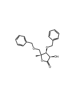 C[C@]1(COCc2ccccc2)OC(=O)[C@H](O)[C@@H]1OCc1ccccc1